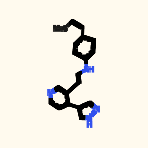 CS/C=C\c1ccc(N/C=C/c2cnccc2-c2cn[nH]c2)cc1